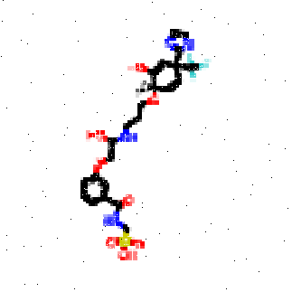 CC1(OCCCNC(O)COc2cccc(C(=O)NCS(=O)(=O)O)c2)C=CC(c2ncc[nH]2)(C(F)(F)F)C=C1O